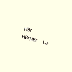 Br.Br.Br.[La]